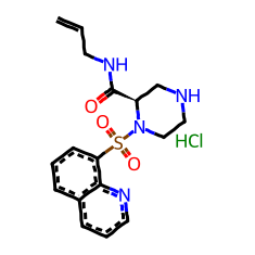 C=CCNC(=O)[C@H]1CNCCN1S(=O)(=O)c1cccc2cccnc12.Cl